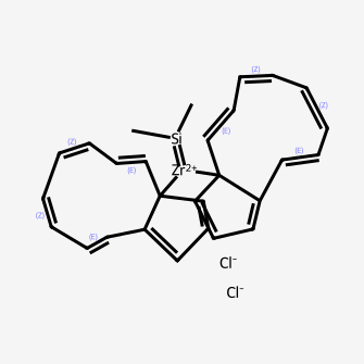 C[Si](C)=[Zr+2]([C]12C=CC=C1/C=C/C=C\C=C/C=C/2)[C]12C=CC=C1/C=C/C=C\C=C/C=C/2.[Cl-].[Cl-]